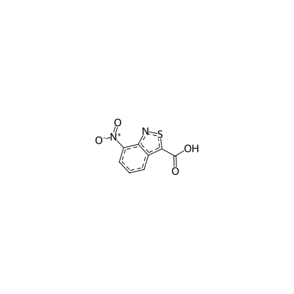 O=C(O)c1snc2c([N+](=O)[O-])cccc12